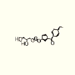 CC=C1C=CC(C(=O)C2=C=C(OOOCC(O)CO)C=C2)=CC1